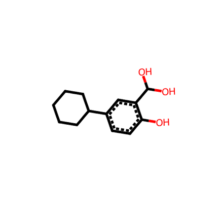 Oc1ccc(C2CCCCC2)cc1C(O)O